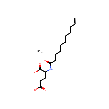 C=CCCCCCCCCC(=O)NC(CCC(=O)[O-])C(=O)[O-].[K+].[K+]